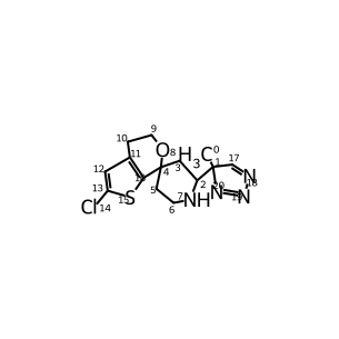 CC1(C2CC3(CCN2)OCCc2cc(Cl)sc23)C=NN=N1